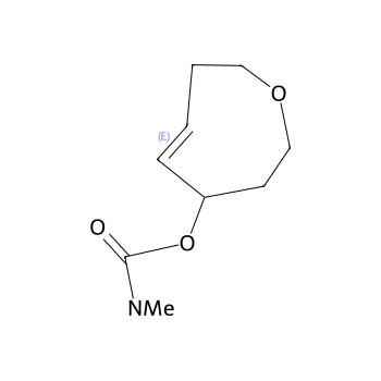 CNC(=O)OC1/C=C/CCOCC1